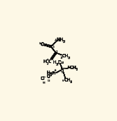 C=C(C)C(N)=O.CCC[N+](C)(C)C.O.[Cl-]